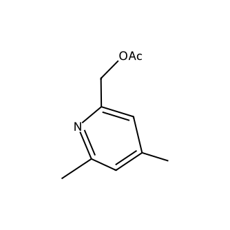 CC(=O)OCc1cc(C)cc(C)n1